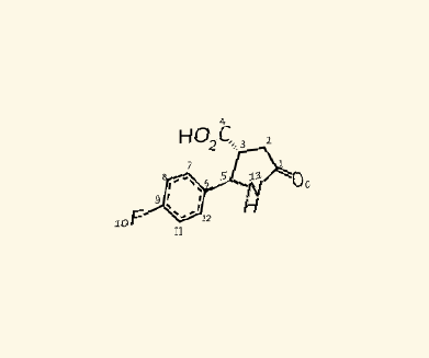 O=C1C[C@@H](C(=O)O)[C@H](c2ccc(F)cc2)N1